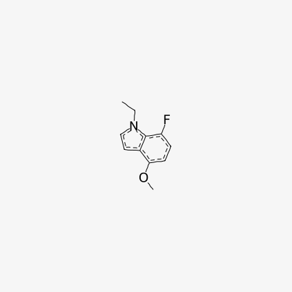 CCn1ccc2c(OC)ccc(F)c21